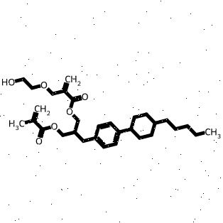 C=C(C)C(=O)OCC(COC(=O)C(=C)COCCO)Cc1ccc(C2CCC(CCCCC)CC2)cc1